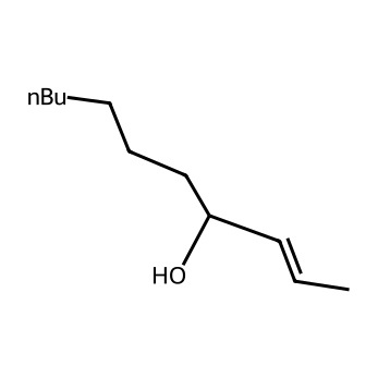 C/C=C/C(O)CCCCCCC